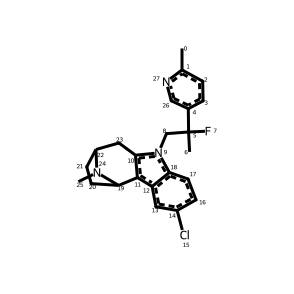 Cc1ccc(C(C)(F)Cn2c3c(c4cc(Cl)ccc42)C2CCC(C3)N2C)cn1